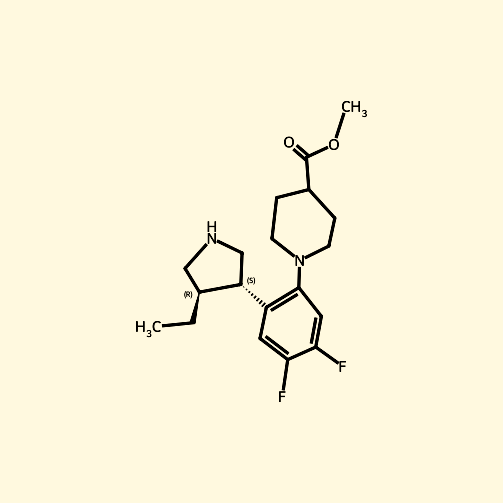 CC[C@H]1CNC[C@@H]1c1cc(F)c(F)cc1N1CCC(C(=O)OC)CC1